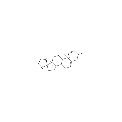 CC1C=C[C@@]2(C)C(=CCC3C2CC[C@@]2(C)C3CCC23OCCO3)C1